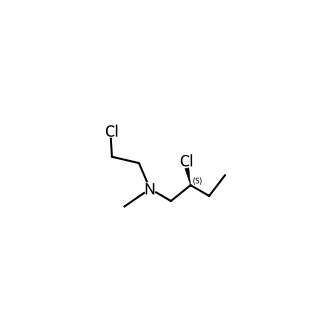 CC[C@H](Cl)CN(C)CCCl